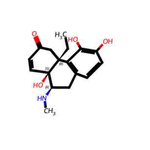 CC[C@]12CC(=O)C=C[C@@]1(O)[C@H](NC)Cc1ccc(O)c(O)c12